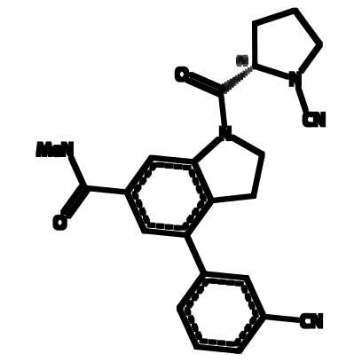 CNC(=O)c1cc(-c2cccc(C#N)c2)c2c(c1)N(C(=O)[C@@H]1CCCN1C#N)CC2